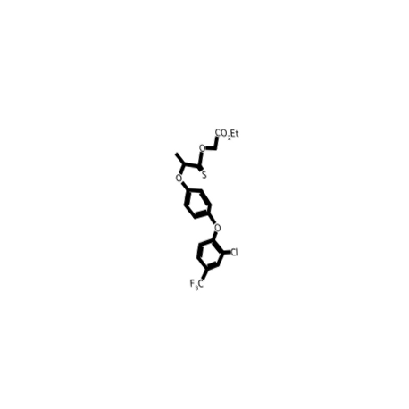 CCOC(=O)COC(=S)C(C)Oc1ccc(Oc2ccc(C(F)(F)F)cc2Cl)cc1